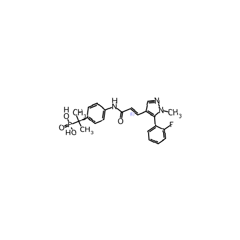 Cn1ncc(/C=C/C(=O)Nc2ccc(C(C)(C)P(=O)(O)O)cc2)c1-c1ccccc1F